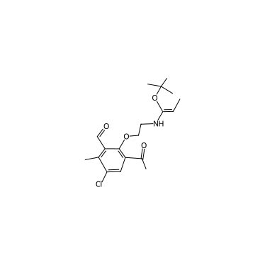 CC=C(NCCOc1c(C(C)=O)cc(Cl)c(C)c1C=O)OC(C)(C)C